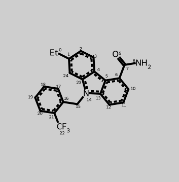 CCc1c[c]c2c3c(C(N)=O)cccc3n(Cc3ccccc3C(F)(F)F)c2c1